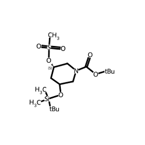 CC(C)(C)OC(=O)N1CC(O[Si](C)(C)C(C)(C)C)C[C@H](OS(C)(=O)=O)C1